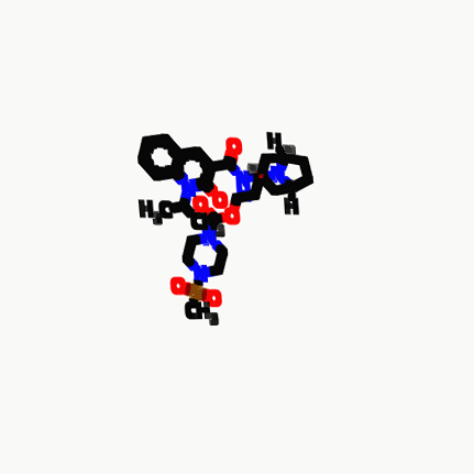 CC(C)n1c(=O)c(C(=O)N[C@@H]2C[C@H]3CC[C@@H](C2)N3CCCOC(=O)N2CCN(S(C)(=O)=O)CC2)cc2ccccc21